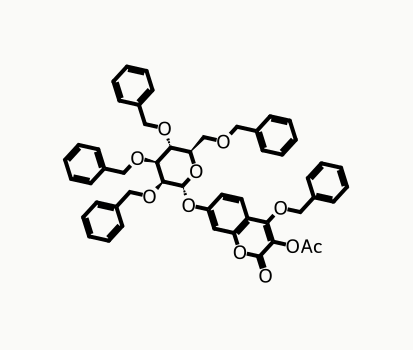 CC(=O)Oc1c(OCc2ccccc2)c2ccc(O[C@H]3O[C@H](COCc4ccccc4)[C@@H](OCc4ccccc4)[C@H](OCc4ccccc4)[C@@H]3OCc3ccccc3)cc2oc1=O